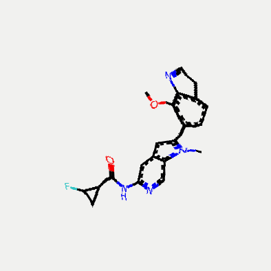 COc1c(-c2cc3cc(NC(=O)C4CC4F)ncc3n2C)ccc2c1N=CC2